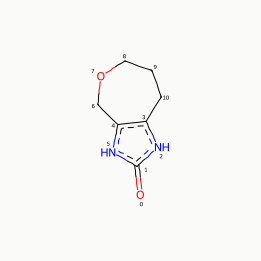 O=c1[nH]c2c([nH]1)COCCC2